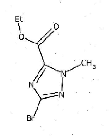 CCOC(=O)c1nc(Br)nn1C